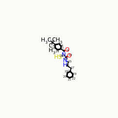 CC(C)(C)c1ccc(C(=O)N(S)C(=O)NCCCc2ccccc2)cc1